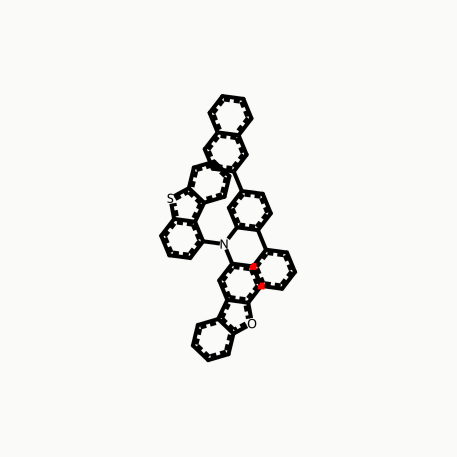 c1ccc(-c2ccc(-c3ccc4ccccc4c3)cc2N(c2ccc3oc4ccccc4c3c2)c2cccc3sc4ccccc4c23)cc1